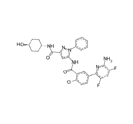 Nc1nc(-c2ccc(Cl)c(C(=O)Nc3cc(C(=O)N[C@H]4CC[C@H](O)CC4)nn3-c3ccccc3)c2)c(F)cc1F